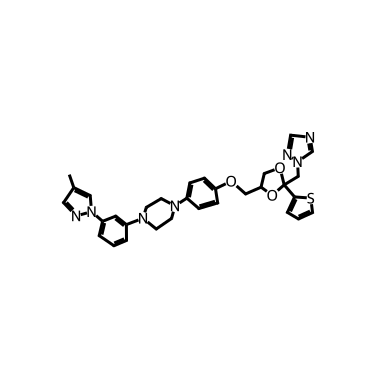 Cc1cnn(-c2cccc(N3CCN(c4ccc(OCC5COC(Cn6cncn6)(c6cccs6)O5)cc4)CC3)c2)c1